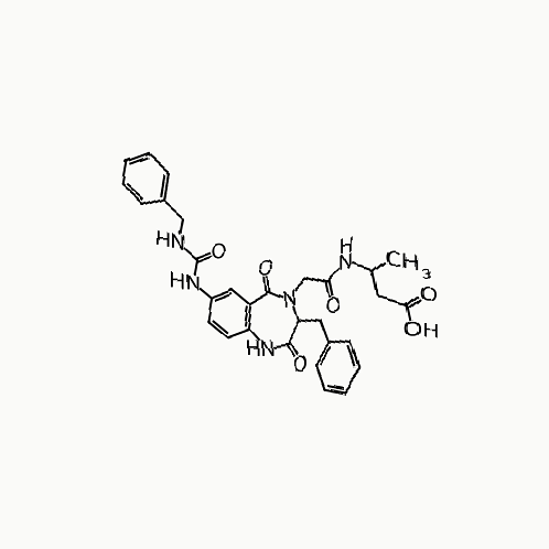 CC(CC(=O)O)NC(=O)CN1C(=O)c2cc(NC(=O)NCc3ccccc3)ccc2NC(=O)C1Cc1ccccc1